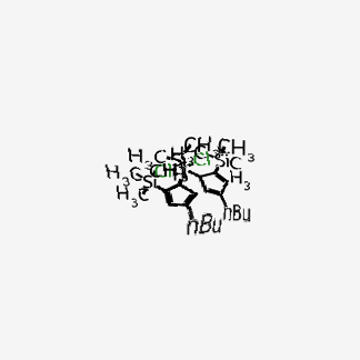 CCCCC1=C[CH]([Hf]([Cl])([Cl])([CH]2C=C(CCCC)C=C2[Si](C)(C)C)[SiH](C)C)C([Si](C)(C)C)=C1